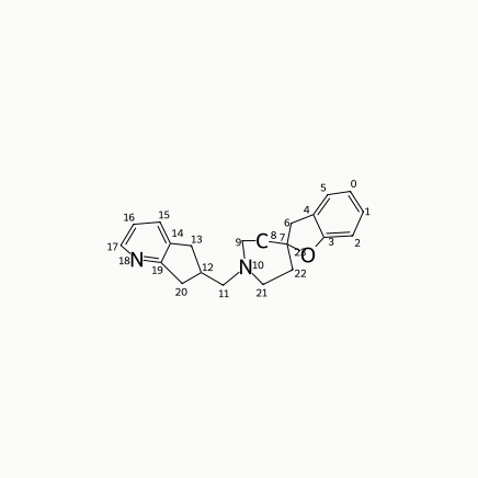 c1ccc2c(c1)CC1(CCN(CC3Cc4cccnc4C3)CC1)O2